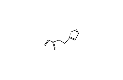 C=CC(=O)CCc1cccs1